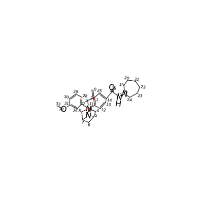 C=CCN1CC2CC(C1)N2C(c1ccc(C(=O)NN2CCCCCC2)cc1)c1cccc(OC)c1